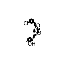 CC1C(=O)N(CCCN2CC[C@H](C)[C@H](O)C2)CCN1C(=O)C=Cc1cccc(Cl)c1